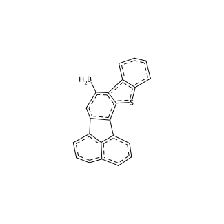 Bc1cc2c(c3sc4ccccc4c13)-c1cccc3cccc-2c13